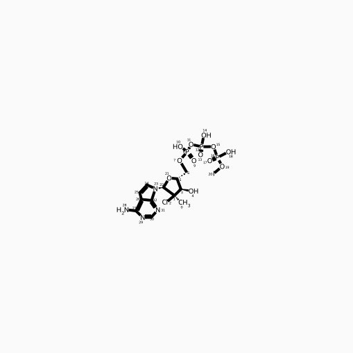 C[C@@]1(Cl)[C@H](O)[C@@H](COP(=O)(O)OP(=O)(O)OP(=O)(O)OI)O[C@H]1n1ccc2c(N)ncnc21